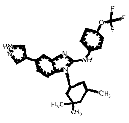 CC1CC(n2c(Nc3ccc(OC(F)(F)F)cc3)nc3cc(-c4cn[nH]c4)ccc32)CC(C)(C)C1